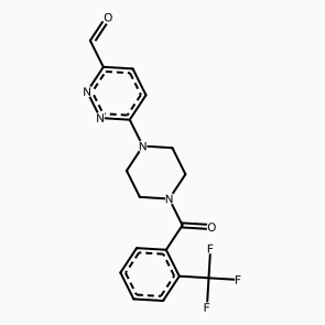 O=Cc1ccc(N2CCN(C(=O)c3ccccc3C(F)(F)F)CC2)nn1